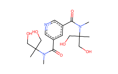 CN(C(=O)c1cncc(C(=O)N(C)C(C)(CO)CO)c1)C(C)(CO)CO